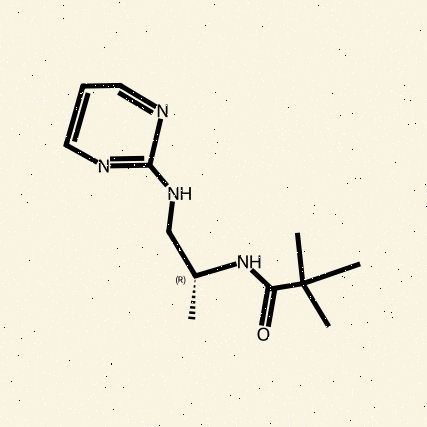 C[C@H](CNc1ncccn1)NC(=O)C(C)(C)C